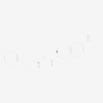 N[C@@H](Cc1ccc([N+](=O)[O-])cc1)C(=O)[N]C(=O)OCc1ccccc1